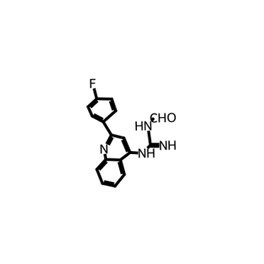 N=C(NC=O)Nc1cc(-c2ccc(F)cc2)nc2ccccc12